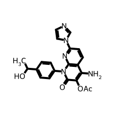 CC(=O)Oc1c(N)c2ccc(-n3ccnc3)nc2n(-c2ccc(C(C)O)cc2)c1=O